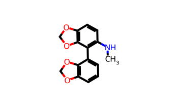 CNc1ccc2c(c1-c1cccc3c1OCO3)OCO2